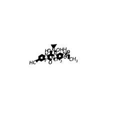 C#Cc1ccc(Nc2cc(=O)n(C)c3c2C(=O)N(C2CC2)C(O)N3c2cccc(NS(=O)(=O)CCC)c2)c(F)c1